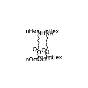 CCCCCCCCC(CCCCCC)COC(=O)CCCCCCNCCCCCC.CCCCCCCCC(CCCCCC)COC(=O)CCCCCCNCCCCCC